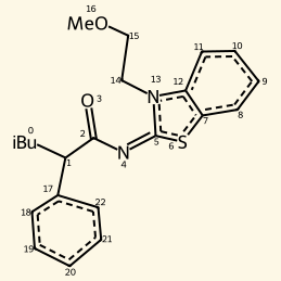 CCC(C)C(C(=O)N=c1sc2ccccc2n1CCOC)c1ccccc1